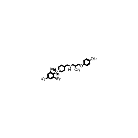 CC(C)c1cc(C(C)C)c(S(=O)(=O)N2CCC(CNC[C@H](O)COc3ccc(O)cc3)CC2)c(C(C)C)c1